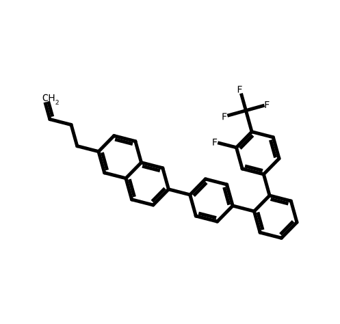 C=CCCc1ccc2cc(-c3ccc(-c4ccccc4-c4ccc(C(F)(F)F)c(F)c4)cc3)ccc2c1